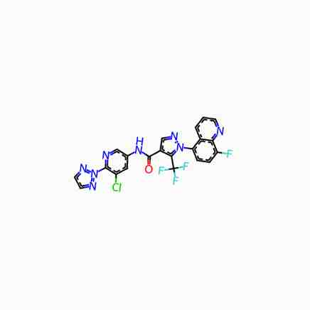 O=C(Nc1cnc(-n2nccn2)c(Cl)c1)c1cnn(-c2ccc(F)c3ncccc23)c1C(F)(F)F